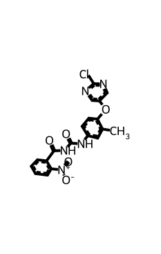 Cc1cc(NC(=O)NC(=O)c2ccccc2[N+](=O)[O-])ccc1Oc1cnc(Cl)nc1